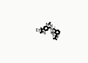 C=C(C)C(F)(F)c1cccc([C@@H](C)Nc2nc(C)nc3cc4c(cc23)N(C)C(=C)[C@@]4(C)CC)c1F